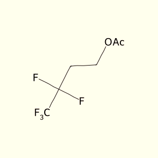 CC(=O)OCCC(F)(F)C(F)(F)F